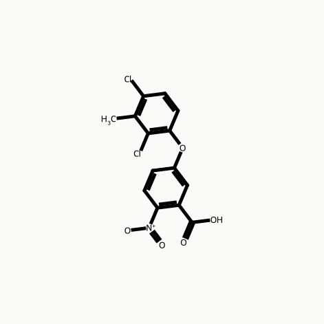 Cc1c(Cl)ccc(Oc2ccc([N+](=O)[O-])c(C(=O)O)c2)c1Cl